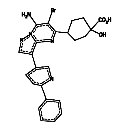 Nc1c(Br)c(C2CCC(O)(C(=O)O)CC2)nc2c(-c3ccc(-c4ccccc4)nc3)cnn12